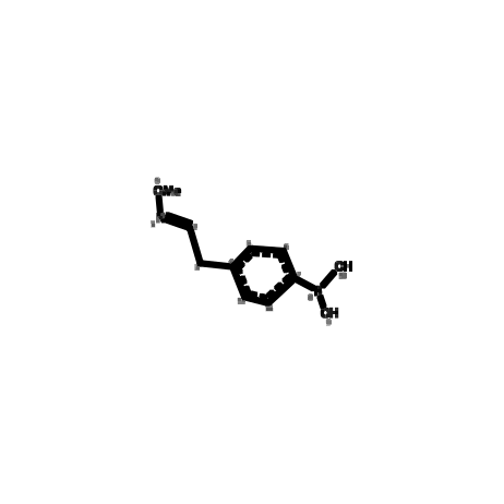 CON=CCc1ccc(B(O)O)cc1